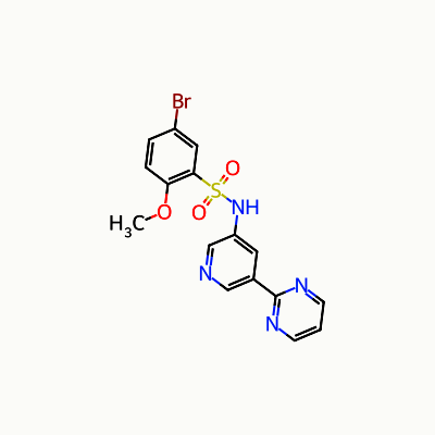 COc1ccc(Br)cc1S(=O)(=O)Nc1cncc(-c2ncccn2)c1